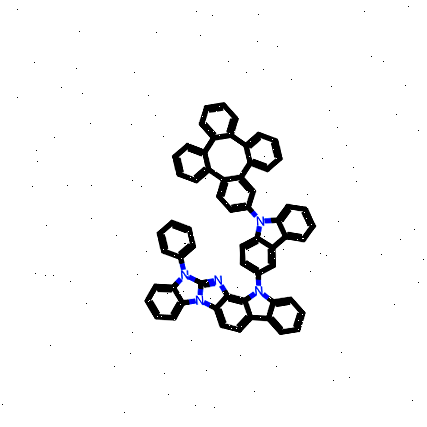 c1ccc(-n2c3ccccc3n3c4ccc5c6ccccc6n(-c6ccc7c(c6)c6ccccc6n7-c6ccc7c(c6)-c6ccccc6-c6ccccc6-c6ccccc6-7)c5c4nc23)cc1